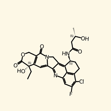 CC[C@@]1(O)C(=O)OCc2c1cc1n(c2=O)Cc2c-1nc1cc(F)c(Cl)c3c1c2[C@@H](NC(=O)C[C@H](C)O)CC3